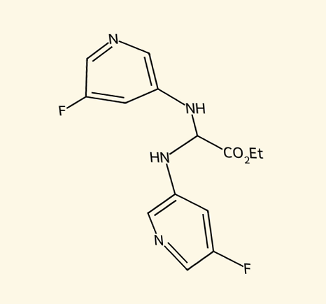 CCOC(=O)C(Nc1cncc(F)c1)Nc1cncc(F)c1